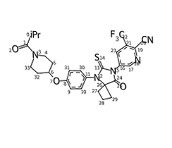 CC(C)C(=O)N1CCC(Oc2ccc(N3C(=S)N(c4cnc(C#N)c(C(F)(F)F)c4)C(=O)C34CCC4)cc2)CC1